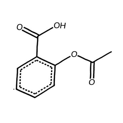 CC(=O)Oc1cc[c]cc1C(=O)O